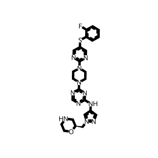 Fc1ccccc1Sc1cnc(N2CCN(c3ncnc(Nc4cnn(C[C@@H]5CNCCO5)c4)n3)CC2)nc1